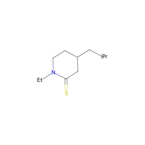 CCN1CCC(CC(C)C)CC1=S